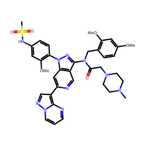 COc1ccc(CN(C(=O)CN2CCN(C)CC2)c2nn(-c3ccc(NS(C)(=O)=O)cc3OC)c3cc(-c4cnn5cccnc45)ncc23)c(OC)c1